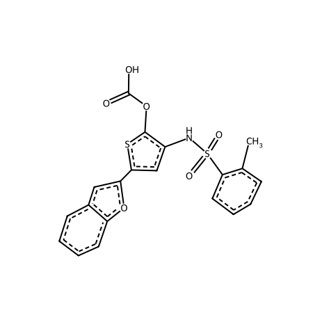 Cc1ccccc1S(=O)(=O)Nc1cc(-c2cc3ccccc3o2)sc1OC(=O)O